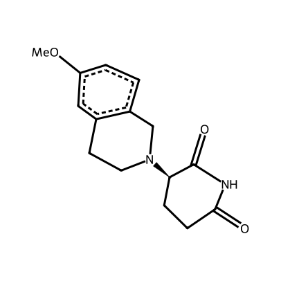 COc1ccc2c(c1)CCN([C@@H]1CCC(=O)NC1=O)C2